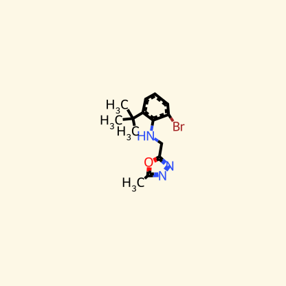 Cc1nnc(CNc2c(Br)cccc2C(C)(C)C)o1